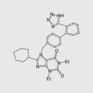 CCn1c(=O)c2c(nc(C3CCCCC3)n2Cc2ccc(-c3ccccc3-c3nnn[nH]3)cc2)n(CC)c1=O